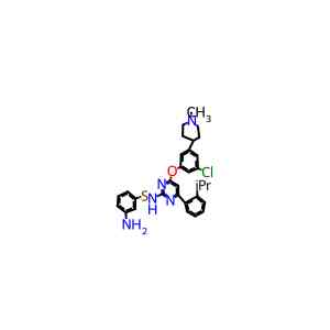 CC(C)c1ccccc1-c1cc(Oc2cc(Cl)cc(C3CCN(C)CC3)c2)nc(NSc2cccc(N)c2)n1